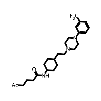 CC(=O)CCCC(=O)NC1CCC(CCN2CCN(c3cccc(C(F)(F)F)c3)CC2)CC1